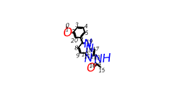 COc1cccc(-c2ccc3nc(NC(C)=O)cn3n2)c1